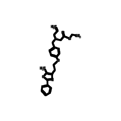 C=CCN(CC(=O)OCC)Cc1ccc(OCCc2nc(-c3ccccc3)oc2C)cc1